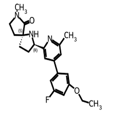 CCOc1cc(F)cc(-c2cc(C)nc([C@H]3CC[C@@]4(CCN(C)C4=O)N3)c2)c1